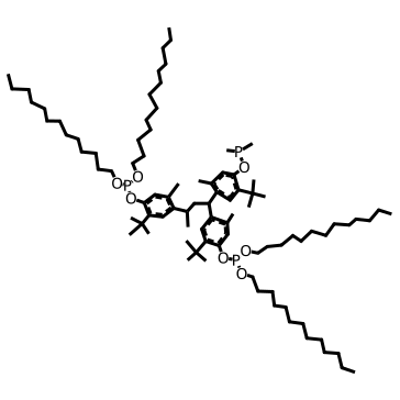 CCCCCCCCCCCCCOP(OCCCCCCCCCCCCC)Oc1cc(C)c(C(C)CC(c2cc(C(C)(C)C)c(OP(C)C)cc2C)c2cc(C(C)(C)C)c(OP(OCCCCCCCCCCCCC)OCCCCCCCCCCCCC)cc2C)cc1C(C)(C)C